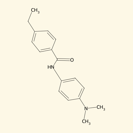 CCc1ccc(C(=O)Nc2ccc(N(C)C)cc2)cc1